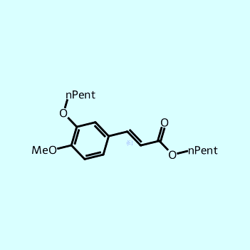 CCCCCOC(=O)/C=C/c1ccc(OC)c(OCCCCC)c1